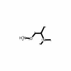 CC(CON)N(C)C